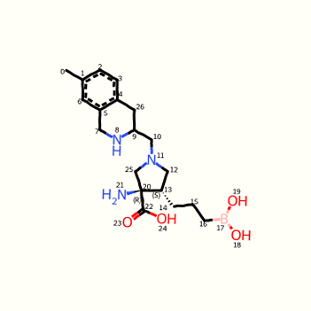 Cc1ccc2c(c1)CNC(CN1C[C@H](CCCB(O)O)[C@](N)(C(=O)O)C1)C2